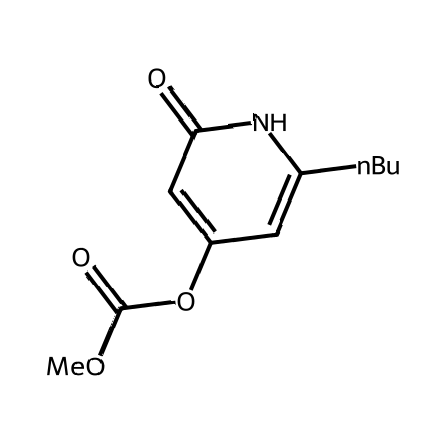 CCCCc1cc(OC(=O)OC)cc(=O)[nH]1